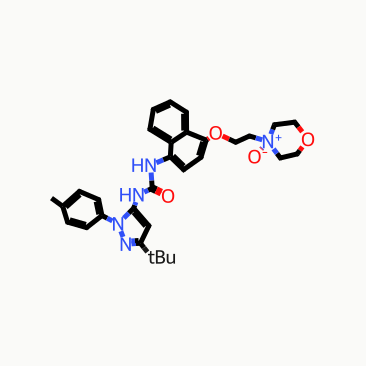 Cc1ccc(-n2nc(C(C)(C)C)cc2NC(=O)Nc2ccc(OCC[N+]3([O-])CCOCC3)c3ccccc23)cc1